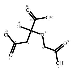 O=C(O)COC(Cl)(CC(=O)Cl)C(=O)Cl